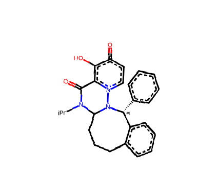 CC(C)N1C(=O)c2c(O)c(=O)ccn2N2C1CCCc1ccccc1[C@H]2c1ccccc1